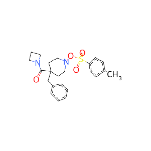 Cc1ccc(S(=O)(=O)ON2CCC(Cc3ccccc3)(C(=O)N3CCC3)CC2)cc1